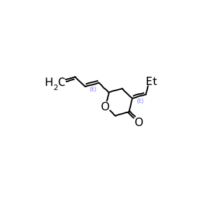 C=C/C=C/C1C/C(=C\CC)C(=O)CO1